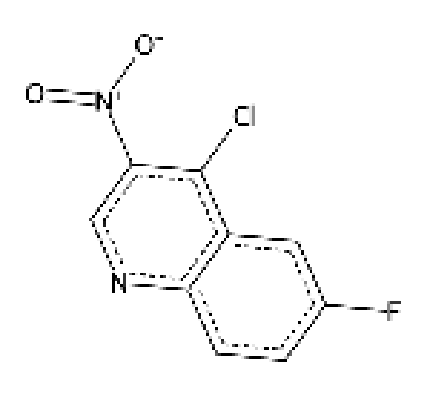 O=[N+]([O-])c1cnc2ccc(F)cc2c1Cl